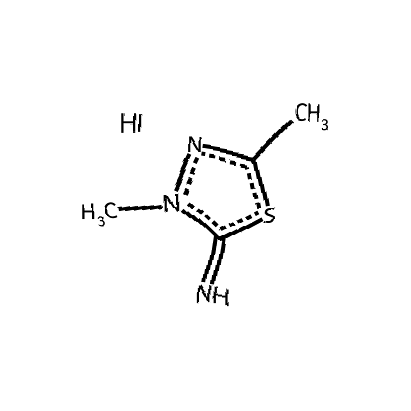 Cc1nn(C)c(=N)s1.I